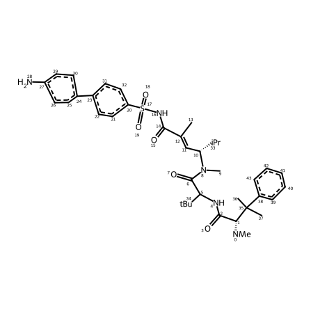 CN[C@H](C(=O)NC(C(=O)N(C)[C@H](/C=C(\C)C(=O)NS(=O)(=O)c1ccc(-c2ccc(N)cc2)cc1)C(C)C)C(C)(C)C)C(C)(C)c1ccccc1